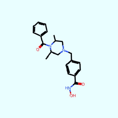 CC1CN(Cc2ccc(C(=O)NO)cc2)CC(C)N1C(=O)c1ccccc1